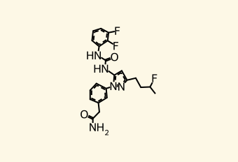 CC(F)CCc1cc(NC(=O)Nc2cccc(F)c2F)n(-c2cccc(CC(N)=O)c2)n1